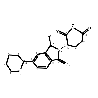 C[C@@H]1c2cc([C@@H]3CCCCO3)ccc2C(=O)N1[C@H]1CCC(=O)NC1=O